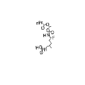 CCCC(=O)OC(C)OC(=O)NC(F)CCC(C)CC[PH](=O)O